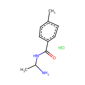 Cc1ccc(C(=O)NC(C)N)cc1.Cl